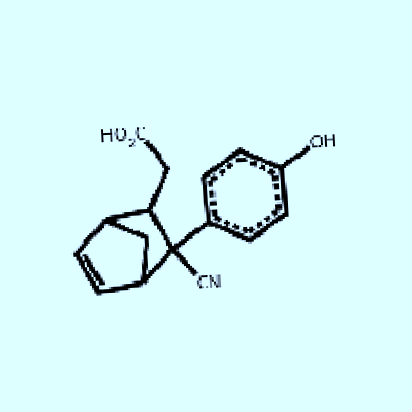 N#CC1(c2ccc(O)cc2)C2C=CC(C2)C1CC(=O)O